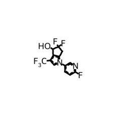 OC1c2c(C(F)(F)F)cn(-c3ccc(F)nc3)c2CC1(F)F